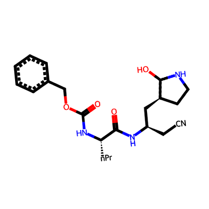 CCC[C@H](NC(=O)OCc1ccccc1)C(=O)N[C@H](CC#N)C[C@@H]1CCNC1O